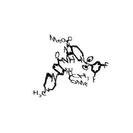 COC[C@H](C)Nc1cc(N2CCN(C)CC2)ccc1C(=O)Nc1nn(C(=O)OC)c2c1CN(S(=O)(=O)c1cc(F)cc(F)c1)CC2